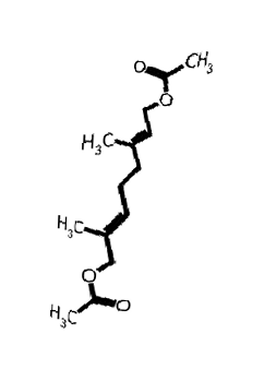 CC(=O)OC/C=C(\C)CC/C=C(\C)COC(C)=O